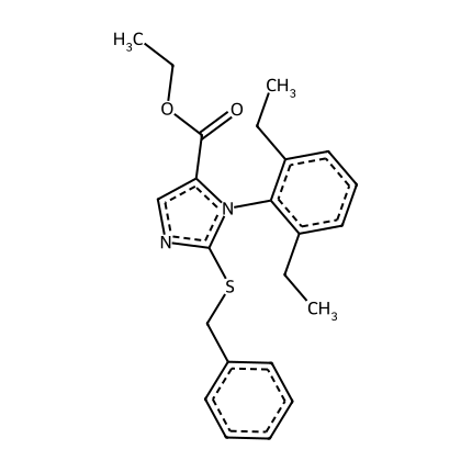 CCOC(=O)c1cnc(SCc2ccccc2)n1-c1c(CC)cccc1CC